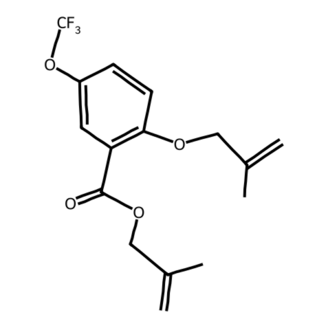 C=C(C)COC(=O)c1cc(OC(F)(F)F)ccc1OCC(=C)C